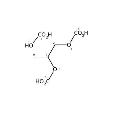 CC(COC(=O)O)OC(=O)O.O=C(O)O